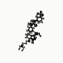 CCN(CC)CCCOc1ccc(-c2ccc(NC(=O)Nc3cccc(C(F)(F)F)c3)cc2)c2c(N)n[nH]c12